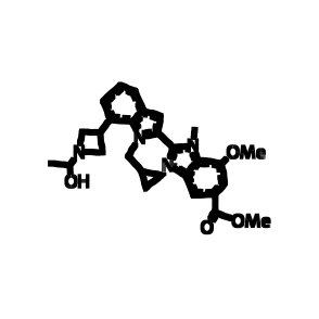 COC(=O)c1cc(OC)c2c(c1)nc(-c1cc3cccc(C4CN(C(C)O)C4)c3n1CC1CC1)n2C